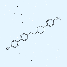 Cc1ccc(C2CCC(CCc3ccc(-c4ccc(Cl)cc4)cc3)CC2)cc1